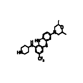 CC1CN(c2ccc3c(c2)Sc2cc(C(F)(F)F)cc(NC4CCNCC4)c2N3)CC(C)O1